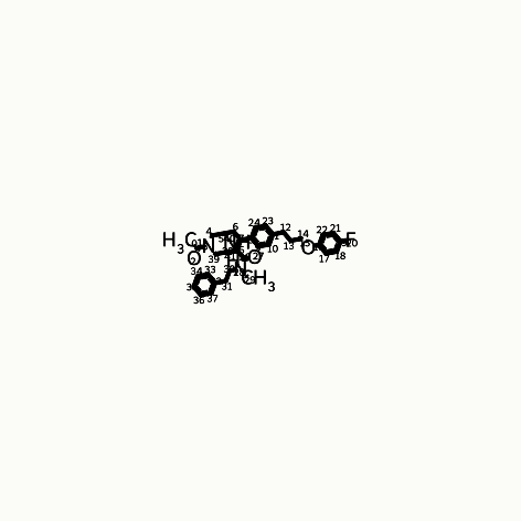 CC(=O)N1CC2CC(c3ccc(CCCOc4ccc(F)cc4)cc3)=C(C(=O)N(C)CCc3ccccc3)[C@@H](C1)N2